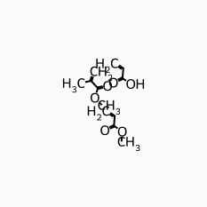 C=C(C)C(=O)OC.C=CC(=O)O.C=CC(=O)OC